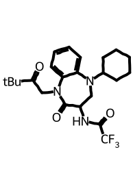 CC(C)(C)C(=O)CN1C(=O)C(NC(=O)C(F)(F)F)CN(C2CCCCC2)c2ccccc21